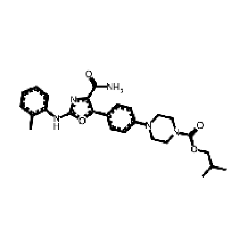 Cc1ccccc1Nc1nc(C(N)=O)c(-c2ccc(N3CCN(C(=O)OCC(C)C)CC3)cc2)o1